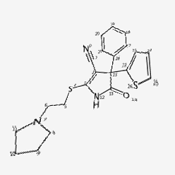 N#CC1=C(SCCN2CCCC2)NC(=O)C1(c1ccccc1)c1cccs1